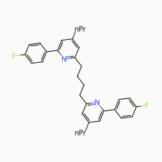 CCCc1cc(CCCCc2cc(CCC)cc(-c3ccc(F)cc3)n2)nc(-c2ccc(F)cc2)c1